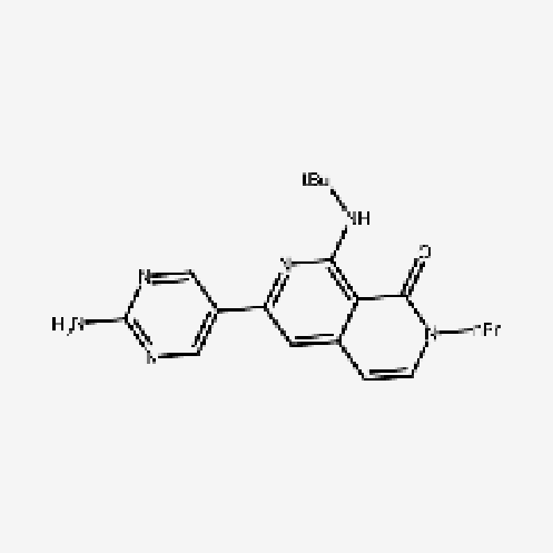 CCCn1ccc2cc(-c3cnc(N)nc3)nc(NC(C)(C)C)c2c1=O